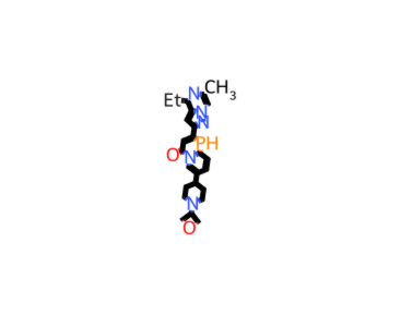 CCc1nc(C)cn2nc(C3=CC(=O)N4C=C(C5CCN(C6COC6)CC5)C=CC4P3)cc12